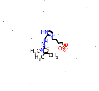 Cc1s/c(=N\N=C\c2[nH]cc[n+]2CCCCS(=O)(=O)[O-])n(C)c1C